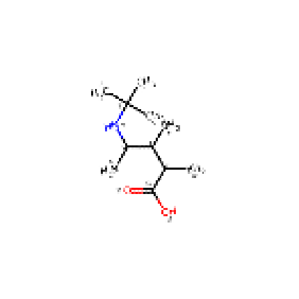 BC(NC(C)(C)C)C(B)C(B)C(=O)O